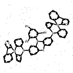 CC(C)c1cc(C(C)C)c(B2c3cc(N4c5ccccc5[Si]5(c6ccccc6-c6ccccc65)c5ccccc54)ccc3Sc3ccc(N4c5ccccc5[Si]5(c6ccccc6-c6ccccc65)c5ccccc54)cc32)c(C(C)C)c1